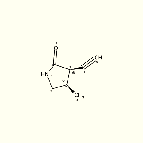 C#C[C@@H]1C(=O)NC[C@@H]1C